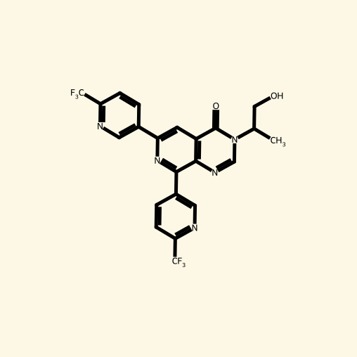 CC(CO)n1cnc2c(-c3ccc(C(F)(F)F)nc3)nc(-c3ccc(C(F)(F)F)nc3)cc2c1=O